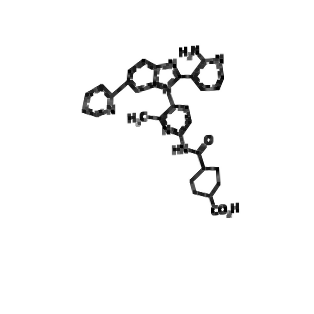 Cc1nc(NC(=O)C2CCC(C(=O)O)CC2)ccc1-n1c(-c2cccnc2N)nc2ccc(-c3ccccn3)cc21